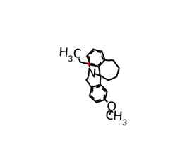 CCCN1Cc2ccc(OC)cc2C12CCCCc1ccccc12